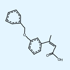 C/C(=C/C(=O)O)c1cccc(OCc2ccccc2)c1